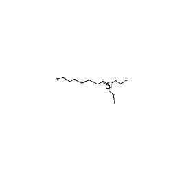 CCCCCCCC=[Si](CCC)CCC